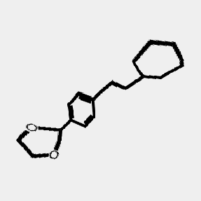 c1cc(C2OCCO2)ccc1CCC1CCCCC1